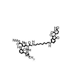 CNC(=O)c1nnc(NC(=O)CNCCCCCCCCNc2ccc3c(c2)C(=O)N(C2CCC(=O)NC2=O)C3=O)cc1Nc1cccc(-c2ncn(C)n2)c1OC